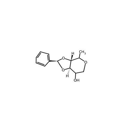 CC1OCC(O)[C@H]2O[C@@H](c3ccccc3)O[C@H]12